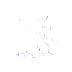 CC#C[C@@]1(O)[C@@H](O)[C@@H]([C@H](C)O)O[C@H]1n1cnc2c(=S)[nH]c(N=NN)nc21